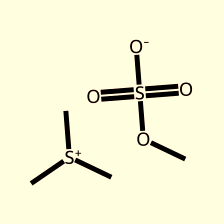 COS(=O)(=O)[O-].C[S+](C)C